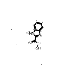 O=C(OS)c1nc2ccccc2[nH]1.[Zn]